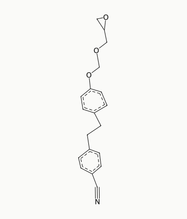 N#Cc1ccc(CCc2ccc(OCOCC3CO3)cc2)cc1